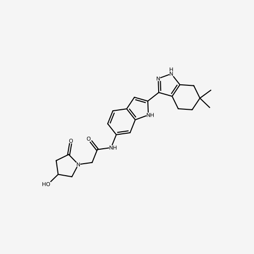 CC1(C)CCc2c(-c3cc4ccc(NC(=O)CN5CC(O)CC5=O)cc4[nH]3)n[nH]c2C1